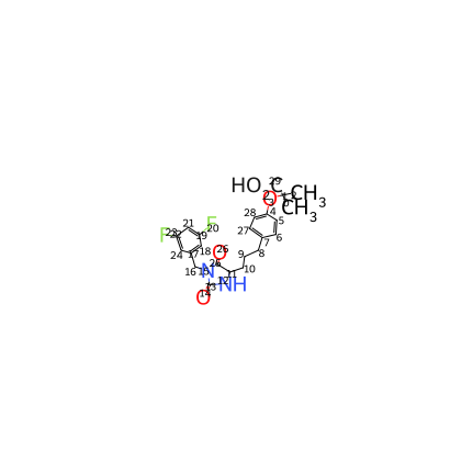 CC(C)(Oc1ccc(CCCC2NC(=O)N(Cc3cc(F)cc(F)c3)C2=O)cc1)C(=O)O